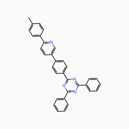 Cc1ccc(-c2ccc(-c3ccc(-c4nc(-c5ccccc5)nc(-c5ccccc5)n4)cc3)cn2)cc1